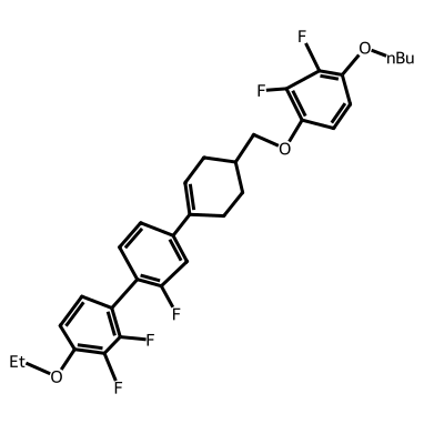 CCCCOc1ccc(OCC2CC=C(c3ccc(-c4ccc(OCC)c(F)c4F)c(F)c3)CC2)c(F)c1F